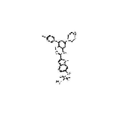 CS(=O)(=O)Nc1ccc2cc(C(=O)Nc3cc(N4CCOCC4)cc(-c4ccc(F)cc4)c3F)[nH]c2c1